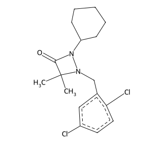 CC1(C)C(=O)N(C2CCCCC2)N1Cc1cc(Cl)ccc1Cl